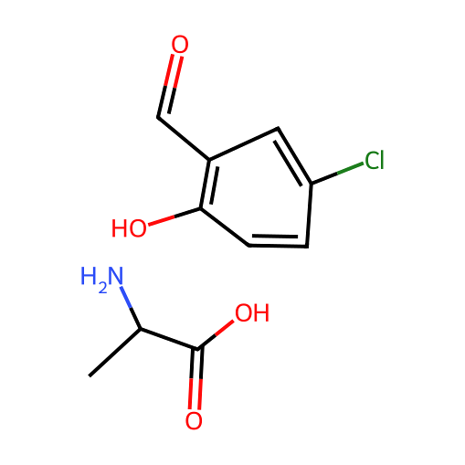 CC(N)C(=O)O.O=Cc1cc(Cl)ccc1O